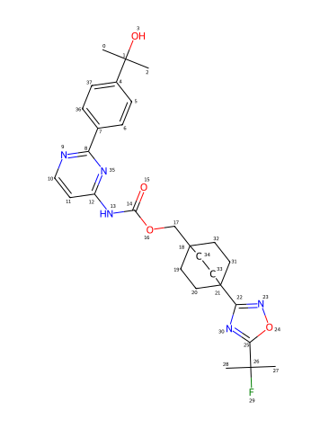 CC(C)(O)c1ccc(-c2nccc(NC(=O)OCC34CCC(c5noc(C(C)(C)F)n5)(CC3)CC4)n2)cc1